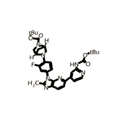 Cc1nc2ccc(-c3ccnc(NC(=O)OC(C)(C)C)c3)nc2n1-c1ccc(N2C[C@@H]3C[C@H]2CN3C(=O)OC(C)(C)C)c(F)c1